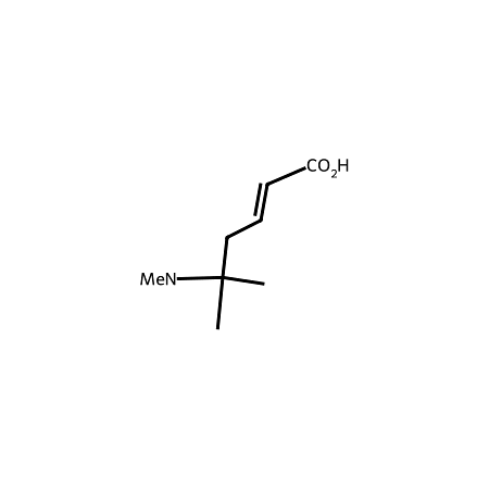 CNC(C)(C)CC=CC(=O)O